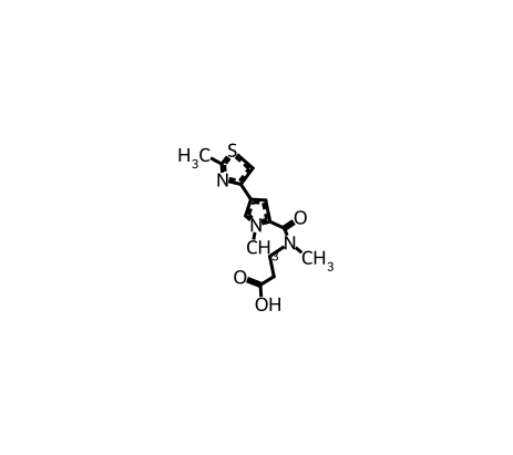 Cc1nc(-c2cc(C(=O)N(C)CCC(=O)O)n(C)c2)cs1